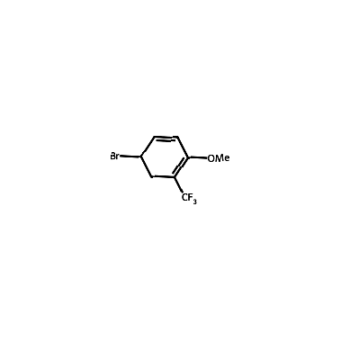 COC1=C(C(F)(F)F)CC(Br)C=C1